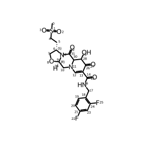 CS(=O)(=O)CC[C@H]1CO[C@@H]2CN3C=C(C(=O)NCc4ccc(F)cc4F)C(=O)C(O)C3C(=O)N12